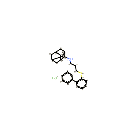 Cl.c1ccc(-c2ccccc2SCCCNC2C3CC4CC(C3)CC2C4)cc1